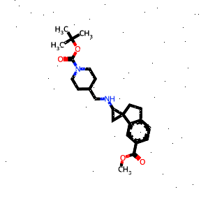 COC(=O)c1ccc2c(c1)C1(CC2)CC1NCC1CCN(C(=O)OC(C)(C)C)CC1